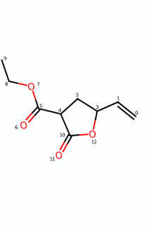 C=CC1CC(C(=O)OCC)C(=O)O1